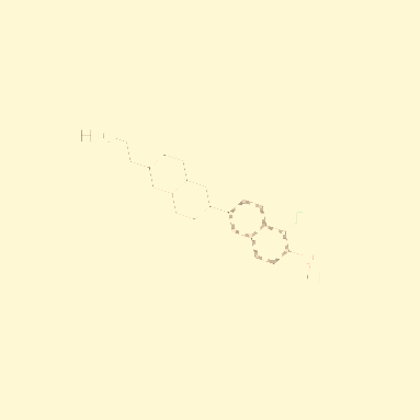 CCCC1CCC2CC(c3ccc4c(F)c(OC)ccc4c3)CCC2C1